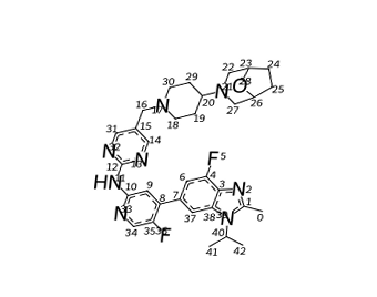 Cc1nc2c(F)cc(-c3cc(Nc4ncc(CN5CCC(N6CC7CCC(C6)O7)CC5)cn4)ncc3F)cc2n1C(C)C